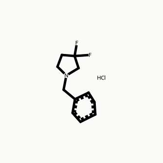 Cl.FC1(F)CCN(Cc2ccccc2)C1